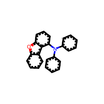 [c]1ccccc1N(c1ccccc1)c1cccc2oc3ccccc3c12